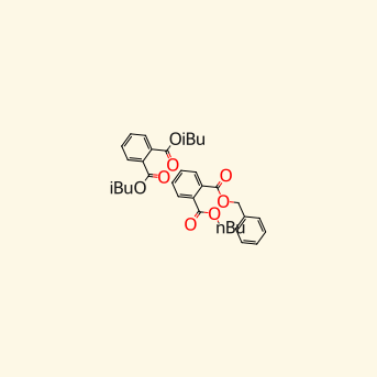 CC(C)COC(=O)c1ccccc1C(=O)OCC(C)C.CCCCOC(=O)c1ccccc1C(=O)OCc1ccccc1